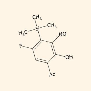 CC(=O)c1cc(F)c([Si](C)(C)C)c(N=O)c1O